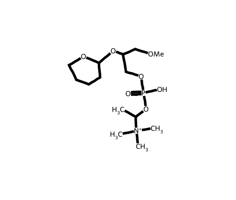 COCC(COP(=O)(O)OC(C)[N+](C)(C)C)OC1CCCCO1